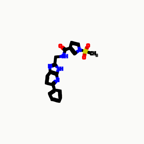 CS(=O)(=O)n1ccc(C(=O)NCc2nc3ccc(-c4ccccc4)nc3[nH]2)c1